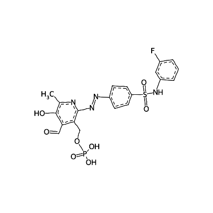 Cc1nc(N=Nc2ccc(S(=O)(=O)Nc3cccc(F)c3)cc2)c(COP(=O)(O)O)c(C=O)c1O